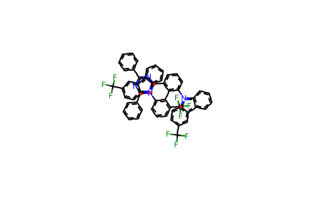 FC(F)(F)c1ccc2c(c1)c1ccccc1n2-c1cccc(-c2nc(-c3ccccc3)nc(-c3ccccc3)n2)c1-c1c(-n2c3ccccc3c3cc(C(F)(F)F)ccc32)cccc1C(F)(F)F